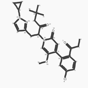 CCC(=O)c1ccc(Cl)cc1-c1cc(=O)n(C(Cc2ccn(C3CC3)n2)C(=O)CC(C)(C)C)cc1OC